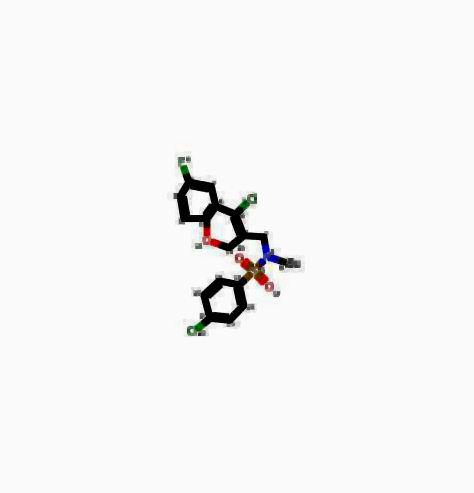 CCC(C)N(CC1=C(Cl)c2cc(F)ccc2OC1)S(=O)(=O)c1ccc(Cl)cc1